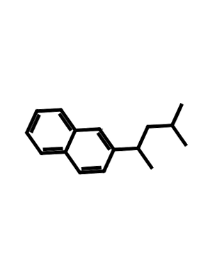 CC(C)CC(C)c1[c]c2ccccc2cc1